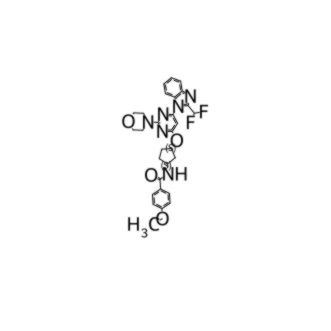 COc1ccc(C(=O)N[C@H]2CC[C@H](Oc3cc(-n4c(C(F)F)nc5ccccc54)nc(N4CCOCC4)n3)C2)cc1